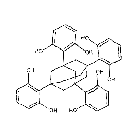 Oc1cccc(O)c1C12CC3(c4c(O)cccc4O)CC(c4c(O)cccc4O)(C1)CC(c1c(O)cccc1O)(C2)C3